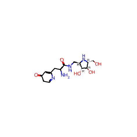 NC(CC1=CC(=O)CC=N1)C(=O)NC[C@H]1N[C@H](CO)[C@@H](O)[C@@H]1O